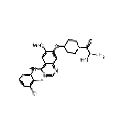 COc1cc2c(Nc3cccc(Cl)c3F)ncnc2cc1OC1CCN(C(=O)C(C)O)CC1